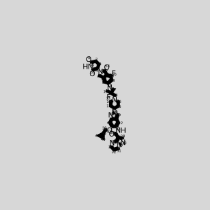 O=C1CCC(N2Cc3cc(N4CC(F)(CN5CCC(n6cc7cc(NC(=O)c8cnn9cccnc89)c(OCC8CC8)cc7n6)CC5)C4)cc(F)c3C2=O)C(=O)N1